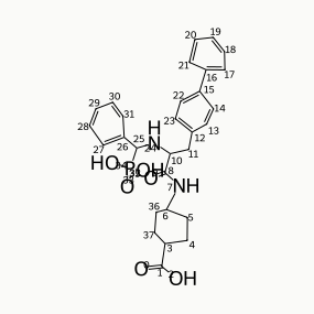 O=C(O)C1CCC(NC(=O)C(Cc2ccc(-c3ccccc3)cc2)NC(c2ccccc2)P(=O)(O)O)CC1